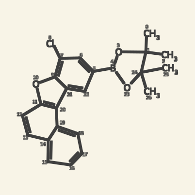 CC1(C)OB(c2cc(Cl)c3oc4ccc5ccccc5c4c3c2)OC1(C)C